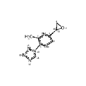 Cc1nc([C@H]2CO2)cnc1-n1cnnn1